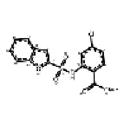 COC(=O)c1ccc(Cl)cc1NS(=O)(=O)c1cc2ccccc2o1